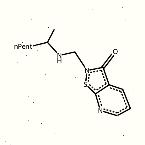 CCCCCC(C)NCn1sc2ncccc2c1=O